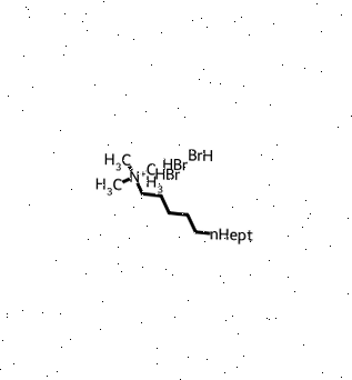 Br.Br.Br.CCCCCCCCCCCC[N+](C)(C)C